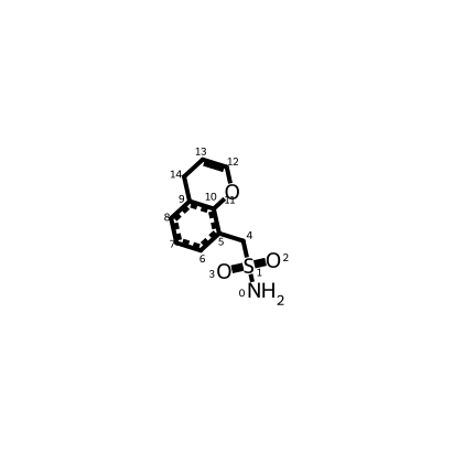 NS(=O)(=O)Cc1cccc2c1OC=CC2